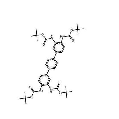 CC(C)(C)OC(=O)Nc1ccc(-c2ccc(-c3ccc(NC(=O)OC(C)(C)C)c(NC(=O)OC(C)(C)C)c3)cc2)cc1NC(=O)OC(C)(C)C